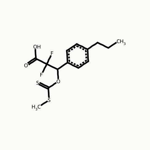 CCCc1ccc(C(OC(=S)SC)C(F)(F)C(=O)O)cc1